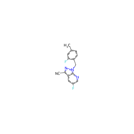 Cc1ccc(Cn2nc(C#N)c3cc(F)cnc32)c(F)c1